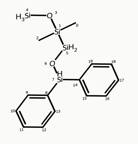 C[Si](C)(O[SiH3])[SiH2]O[SiH](c1ccccc1)c1ccccc1